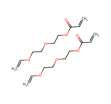 C=COCCOCCOC(=O)C=C.C=COCCOCCOC(=O)C=C